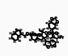 CC(C)CN(C[C@H]1OC(C)(C)N(C(=O)O)[C@@]1(Cc1ccc(OCc2csc3ccccc23)cc1)C1COC2OCCC21)S(=O)(=O)c1ccc2c(c1)OCO2